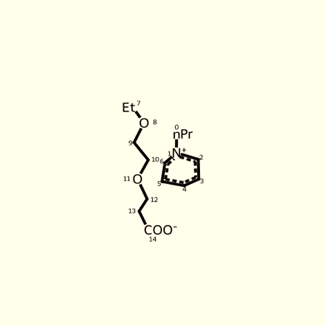 CCC[n+]1ccccc1.CCOCCOCCC(=O)[O-]